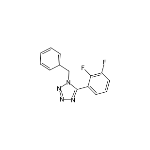 Fc1cccc(-c2nnnn2Cc2ccccc2)c1F